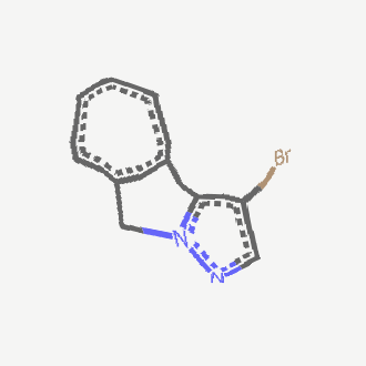 Brc1cnn2c1-c1ccccc1C2